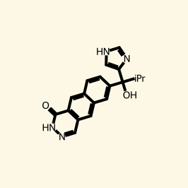 CC(C)C(O)(c1ccc2cc3c(=O)[nH]ncc3cc2c1)c1c[nH]cn1